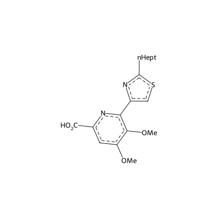 CCCCCCCc1nc(-c2nc(C(=O)O)cc(OC)c2OC)cs1